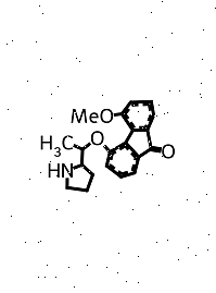 COc1cccc2c1-c1c(OC(C)C3CCCN3)cccc1C2=O